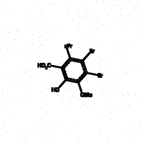 CCCc1c(Br)c(Br)c(OC)c(O)c1C(=O)O